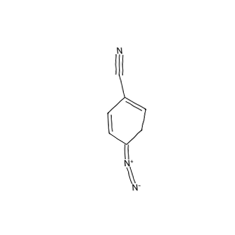 N#CC1=CCC(=[N+]=[N-])C=C1